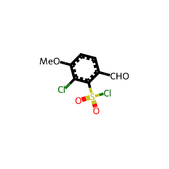 COc1ccc(C=O)c(S(=O)(=O)Cl)c1Cl